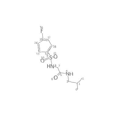 CC(C)CNC(=O)CNS(=O)(=O)c1ccc(F)cc1